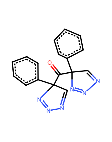 O=C(C1(c2ccccc2)C=NN=N1)C1(c2ccccc2)C=NN=N1